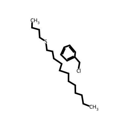 CCCCCCCCCCCCSCCCC.ClCc1ccccc1